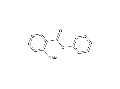 COc1ccccc1C(=O)Oc1ccccc1